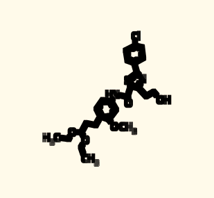 CCOC(CCc1ccc(NC(=O)c2sc(-c3ccc(Cl)cc3)nc2CCO)cc1OC)OCC